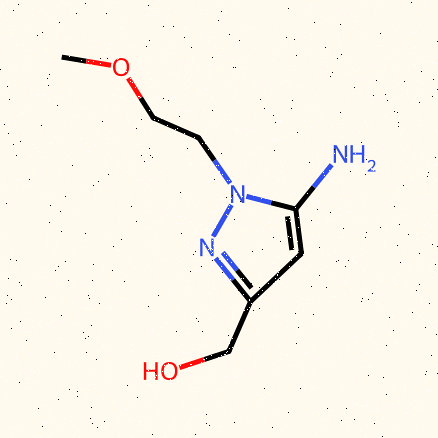 COCCn1nc(CO)cc1N